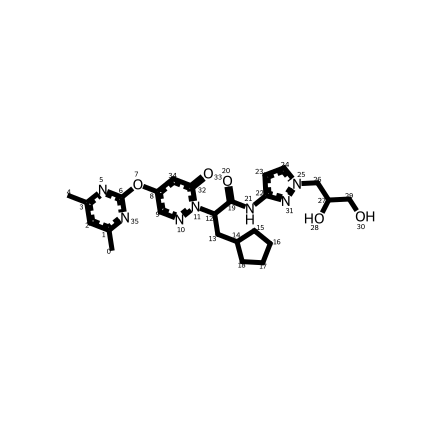 Cc1cc(C)nc(Oc2cnn(C(CC3CCCC3)C(=O)Nc3ccn(CC(O)CO)n3)c(=O)c2)n1